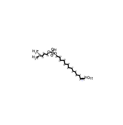 CCCCCCCC/C=C\CCCCCCCCCCCCOP(=O)(O)OCCCN(C)C